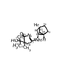 CC(C)(O)C1(C)SC(N[C@H]2C[C@H]3CC[C@H]2C3)=NC1=O